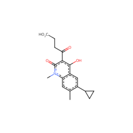 Cc1cc2c(cc1C1CC1)c(O)c(C(=O)CCC(=O)O)c(=O)n2C